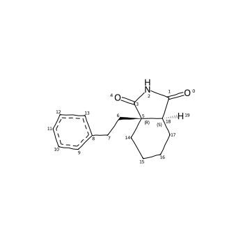 O=C1NC(=O)[C@@]2(CCc3ccccc3)CCCC[C@H]12